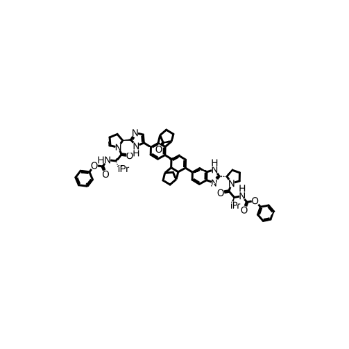 CC(C)[C@H](NC(=O)Oc1ccccc1)C(=O)N1CCC[C@H]1c1ncc(-c2ccc(C3=CC=C(c4ccc5nc([C@@H]6CCCN6C(=O)[C@@H](NC(=O)Oc6ccccc6)C(C)C)[nH]c5c4)C4C5CCC(C5)C34)c3c2C2CCC3C2=O)[nH]1